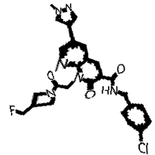 Cn1cc(-c2cnc3c(c2)cc(C(=O)NCc2ccc(Cl)cc2)c(=O)n3CC(=O)N2CC(CF)C2)cn1